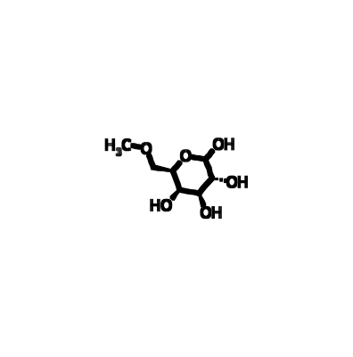 COC[C@H]1OC(O)[C@H](O)[C@@H](O)[C@H]1O